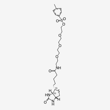 Cc1ccc(S(=O)(=O)OCCOCCOCCOCCNC(=O)CCCC[C@@H]2SC[C@@H]3NC(=O)N[C@@H]32)cc1